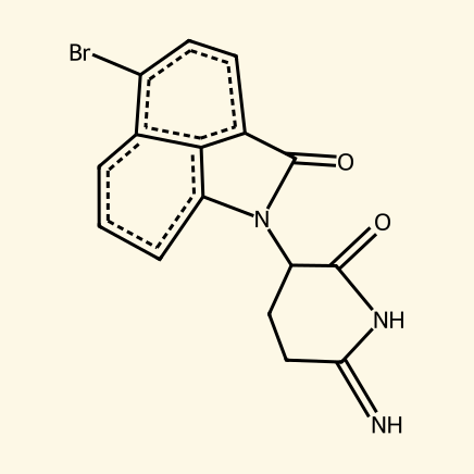 N=C1CCC(N2C(=O)c3ccc(Br)c4cccc2c34)C(=O)N1